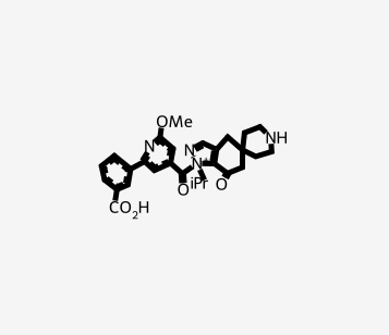 COc1cc(C(=O)[N+]2(C(C)C)N=CC3=C2C(=O)CC2(CCNCC2)C3)cc(-c2cccc(C(=O)O)c2)n1